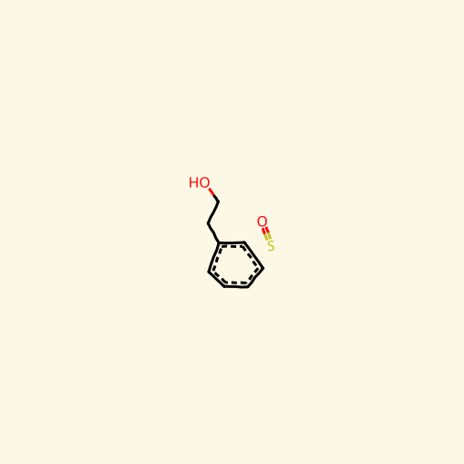 O=S.OCCc1ccccc1